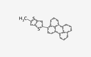 Cc1cc2sc(-c3ccc4c5cccc6cccc(c7cccc3c74)c65)cc2s1